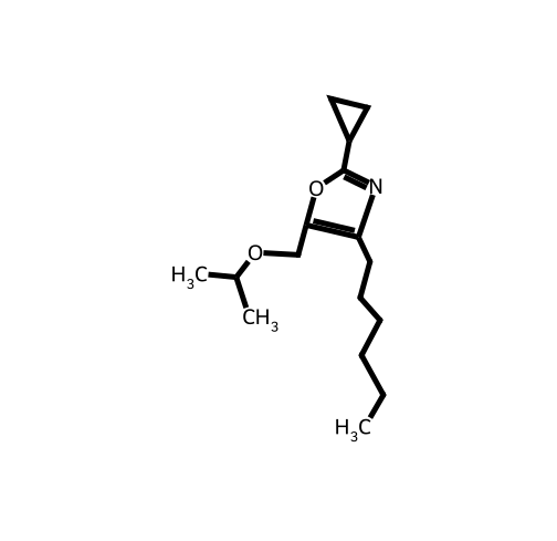 CCCCCCc1nc(C2CC2)oc1COC(C)C